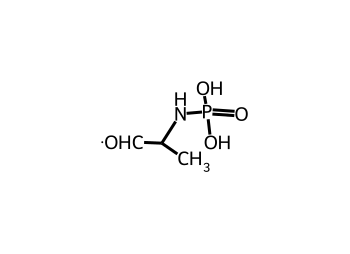 CC([C]=O)NP(=O)(O)O